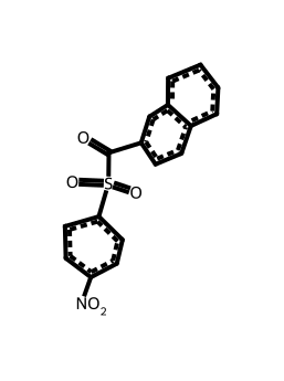 O=C(c1ccc2ccccc2c1)S(=O)(=O)c1ccc([N+](=O)[O-])cc1